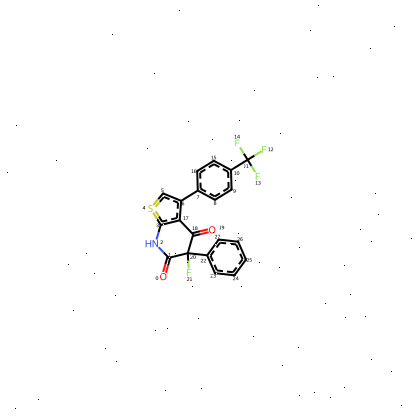 O=C1Nc2scc(-c3ccc(C(F)(F)F)cc3)c2C(=O)C1(F)c1ccccc1